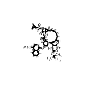 CC[C@@H]1O[C@@H]2C=C([C@H]1NC(=O)OC(C)(C)C(F)(F)F)N1C[C@H](Oc3ncc(OC)c4ccccc34)C[C@H]1C(=O)N[C@]1(C(=O)NS(=O)(=O)C3CC3)C[C@H]1/C=C\CC2